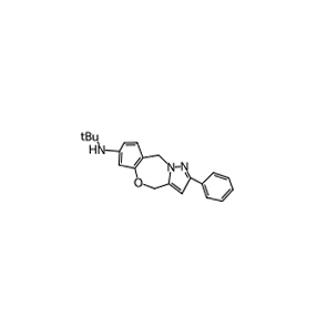 CC(C)(C)Nc1ccc2c(c1)OCc1cc(-c3ccccc3)nn1C2